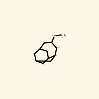 CNC1CC2CC3CC(C2)C(C3)C1